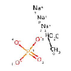 CC(=O)O.O=P([O-])([O-])[O-].[Na+].[Na+].[Na+]